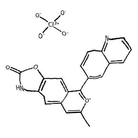 Cc1cc2cc3[nH]c(=O)oc3cc2c(-c2ccc3ncccc3c2)[o+]1.[O-][Cl+3]([O-])([O-])[O-]